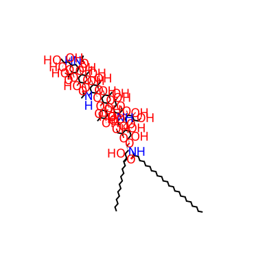 CCCCCCCCCCCCC/C=C/[C@@H](O)[C@H](CO[C@@H]1OC(CO)[C@@H](O[C@@H]2OC(CO)[C@H](O)[C@H](O[C@@H]3OC(CO)[C@@H](O[C@@H]4OC(CO)[C@H](O)[C@H](O[C@H]5OC(CO)[C@H](O)[C@H](O[C@@H]6OC(CO)[C@H](O)[C@H](O[C@]7(C(=O)O)CC(O)[C@@H](NC(C)=O)C([C@H](O)[C@H](O)CO)O7)C6O)C5NC(C)=O)C4O[C@H]4OC(C)[C@@H](O)C(O)[C@@H]4O)[C@H](O)C3NC(C)=O)C2O)[C@H](O)C1O)NC(=O)CCCCCCCCCCCCCCCCCCCCCCC